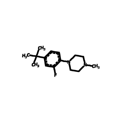 CN1CCN(c2ccc(C(C)(C)C)cc2F)CC1